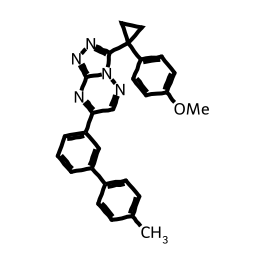 COc1ccc(C2(c3nnc4nc(-c5cccc(-c6ccc(C)cc6)c5)cnn34)CC2)cc1